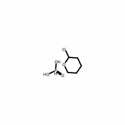 ClC1CCCCO1.O=[PH](O)O